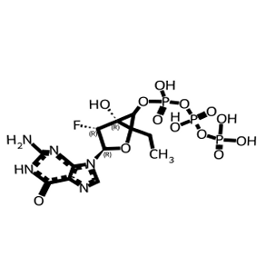 CCC12O[C@@H](n3cnc4c(=O)[nH]c(N)nc43)[C@H](F)[C@@]1(O)C2OP(=O)(O)OP(=O)(O)OP(=O)(O)O